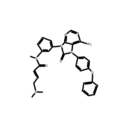 CN(C)C/C=C/C(=O)N(C)c1cccc(-n2c(=O)n(-c3ccc(Oc4ccccc4)cc3)c3c(N)ncnc32)c1